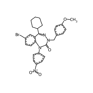 COc1ccc(CN2N=C(C3CCCCC3)c3cc(Br)ccc3N(c3ccc([N+](=O)[O-])cc3)C2=O)cc1